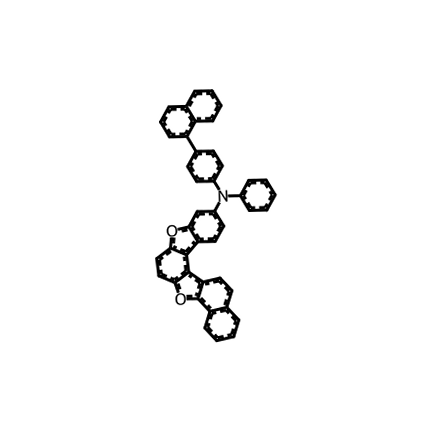 c1ccc(N(c2ccc(-c3cccc4ccccc34)cc2)c2ccc3c(c2)oc2ccc4oc5c6ccccc6ccc5c4c23)cc1